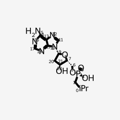 CC(C)CP(=O)(O)OC[C@H]1O[C@@H](n2cnc3c(N)ncnc32)C[C@@H]1O